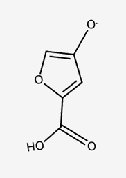 [O]c1coc(C(=O)O)c1